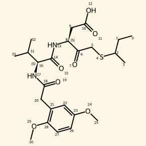 CCC(C)SCC(=O)[C@H](CC(=O)O)NC(=O)[C@@H](NC(=O)Cc1cc(OC)ccc1OC)C(C)C